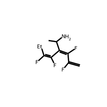 C=C(F)/C(F)=C(\C(F)=C(\F)CC)C(C)N